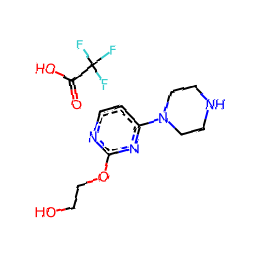 O=C(O)C(F)(F)F.OCCOc1nccc(N2CCNCC2)n1